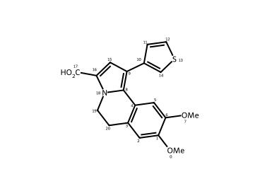 COc1cc2c(cc1OC)-c1c(-c3ccsc3)cc(C(=O)O)n1CC2